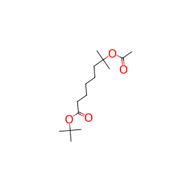 CC(=O)OC(C)(C)CCCCCC(=O)OC(C)(C)C